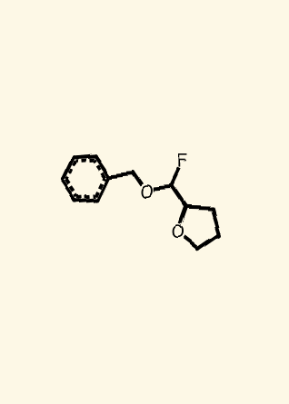 FC(OCc1ccccc1)C1CCCO1